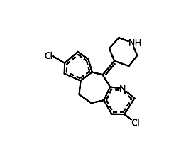 Clc1ccc2c(c1)CCc1cc(Cl)cnc1C2=C1CCNCC1